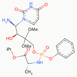 COC(COP(=O)(N[C@H](C)C(=O)OC(C)C)Oc1ccccc1)(OC)[C@@H](O)[C@@H](N)n1ccc(=O)[nH]c1=O